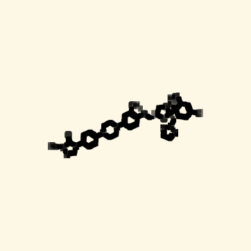 CCC(C)n1ncn(-c2ccc(N3CCN(c4ccc(OC[C@@H]5CO[C@@](Cn6nccn6)(C6(C)C=CC(Cl)=CC6Cl)O5)c(C)c4)CC3)cc2)c1=O